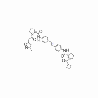 Cc1cc(CC(=O)N2CCC[C@H]2C(=O)Nc2ccc(/C=C/c3ccc(NC(=O)[C@@H]4CCCN4C(=O)C4CCC4)cc3)cc2)on1